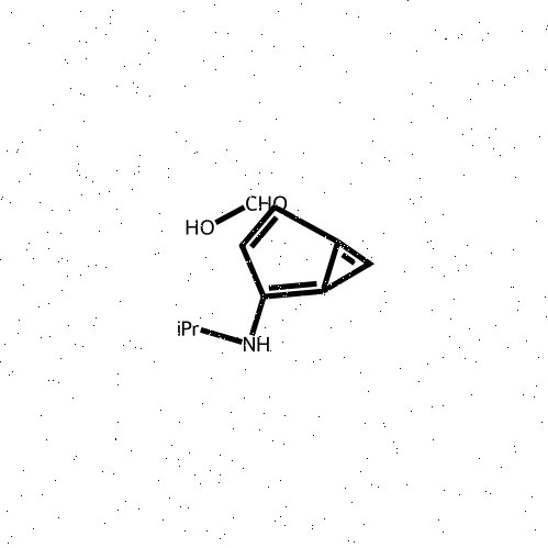 CC(C)Nc1ccc2cc1-2.O=CO